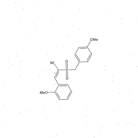 COc1ccc(CS(=O)(=O)/C(C#N)=C\c2ccccc2OC)cc1